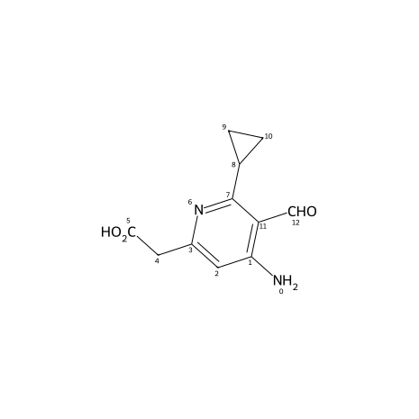 Nc1cc(CC(=O)O)nc(C2CC2)c1C=O